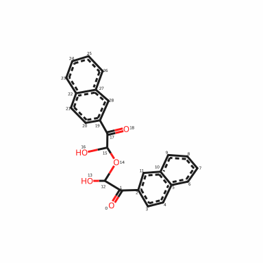 O=C(c1ccc2ccccc2c1)C(O)OC(O)C(=O)c1ccc2ccccc2c1